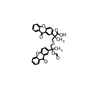 CC(CSCC(C)(C(=O)O)c1ccc2oc3ccccc3c(=O)c2c1)(OC=O)c1ccc2oc3ccccc3c(=O)c2c1